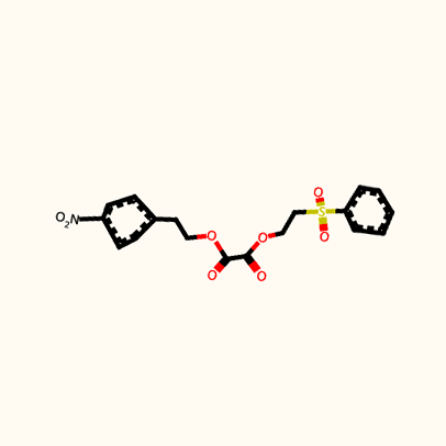 O=C(OCCc1ccc([N+](=O)[O-])cc1)C(=O)OCCS(=O)(=O)c1ccccc1